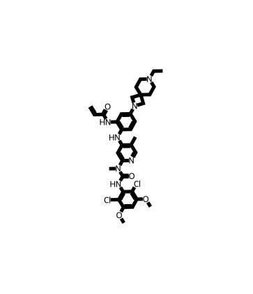 C=CC(=O)Nc1cc(N2CC3(CCN(CC)CC3)C2)ccc1Nc1cc(N(C)C(=O)Nc2c(Cl)c(OC)cc(OC)c2Cl)ncc1C